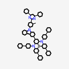 Cc1cc(-n2c3ccccc3c3cc(-c4cc5c6c(c4)N(c4ccc(-c7ccccc7)cc4)c4ccc(-c7ccccc7)cc4B6c4cc(-c6ccccc6)ccc4N5c4ccc(-c5ccccc5)cc4)ccc32)ccc1-c1nc(-c2ccccc2)cc(-c2ccccc2)n1